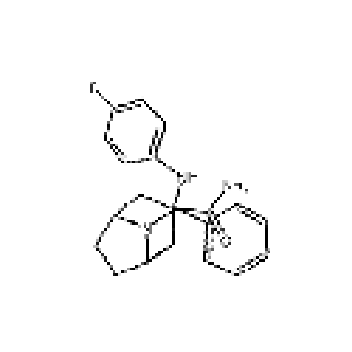 NC(=O)C1(Nc2ccc(F)cc2)CC2CCC(C1)N2Cc1ccccc1